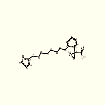 O=C(O)C1(c2ccccc2CCCCCCCCc2ccco2)CO1